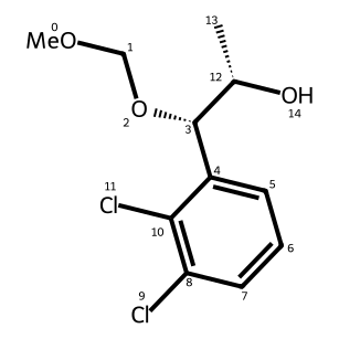 COCO[C@@H](c1cccc(Cl)c1Cl)[C@H](C)O